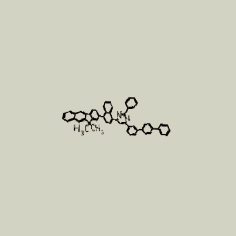 CC1(C)c2cc(-c3ccc(-c4cc(-c5cccc(-c6ccc(-c7ccccc7)cc6)c5)nc(-c5ccccc5)n4)c4ccccc34)ccc2-c2cc3ccccc3cc21